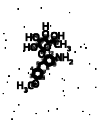 COc1ccc(Cc2ccc(N)cc2O[C@@H]2O[C@H]([C@@H](C)O)[C@@H](O)[C@H](O)[C@H]2O)cc1